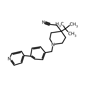 CC(C)(C)C1(CC#N)CCN(Cc2ccc(-c3ccncc3)cc2)CC1